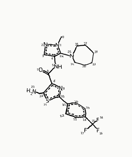 Cn1ncc(NC(=O)c2nc(-c3ccc(C(F)(F)F)cc3)sc2N)c1N1CCCCCC1